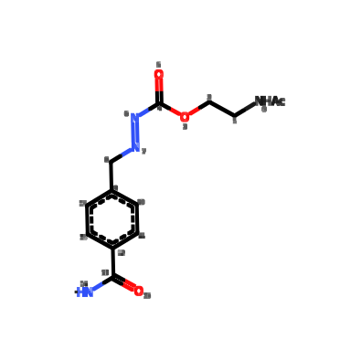 CC(=O)NCCOC(=O)N=NCc1ccc(C([NH])=O)cc1